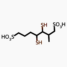 CC(CS(=O)(=O)O)C(S)C(S)CCCS(=O)(=O)O